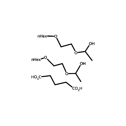 CCCCCCOCCOC(C)O.CCCCCCOCCOC(C)O.O=C(O)CCCC(=O)O